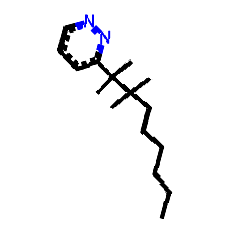 CCCCCCC(C)(C)C(C)(C)c1cccnn1